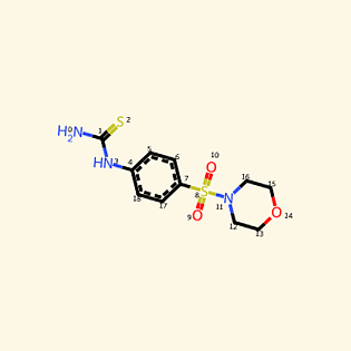 NC(=S)Nc1ccc(S(=O)(=O)N2CCOCC2)cc1